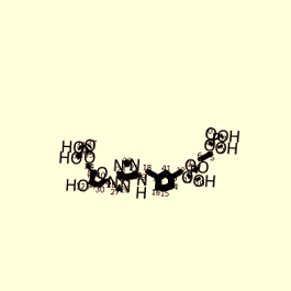 O=P(O)(O)OCCOP(=O)(O)OCc1cccc(CNc2ncnc3c2ncn3[C@H]2C[C@H](O)[C@@H](COP(=O)(O)O)O2)c1